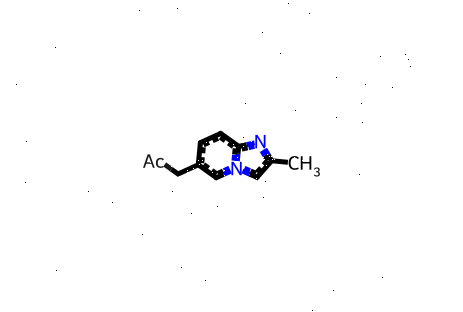 CC(=O)Cc1ccc2nc(C)cn2c1